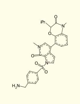 CC(C)C1Oc2c(-c3cn(C)c(=O)c4c3ccn4S(=O)(=O)c3ccc(CN)cc3)cccc2N(C)C1=O